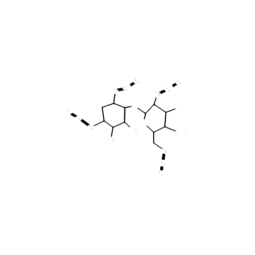 CC1C(N=[N+]=[N-])CC(N=[N+]=[N-])C(OC2OC(CN=[N+]=[N-])C(C)C(F)C2N=[N+]=[N-])C1O